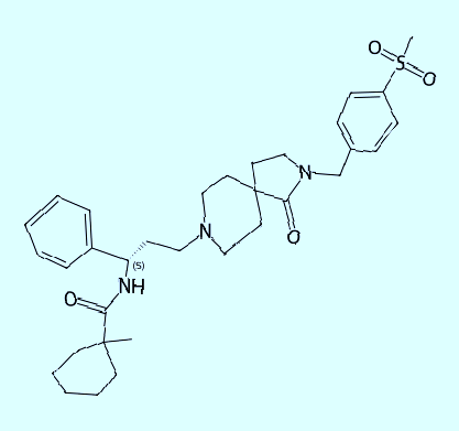 CC1(C(=O)N[C@@H](CCN2CCC3(CC2)CCN(Cc2ccc(S(C)(=O)=O)cc2)C3=O)c2ccccc2)CCCCC1